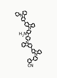 N#Cc1cccc(-c2cccc(-n3c4ccccc4c4cc(-c5ccc6c(c5)c5ccccc5n6-c5ccc(-c6ccc(-n7c8ccccc8c8cc(-c9ccc%10c(c9)c9ccccc9n%10-c9ccccc9)ccc87)cc6N)cc5)ccc43)c2)c1